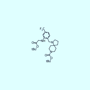 CC(C)(C)OC(=O)CNc1cc(C(F)(F)F)ccc1CN1CCCC12CCN(C(=O)OC(C)(C)C)CC2